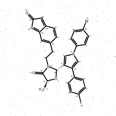 C[C@@H]1O[C@@H](c2cn(-c3ccc(Br)cc3)cc2-c2ccc(F)cc2)N(CCc2ccc3c(c2)=NC(=O)C=3)C1=O